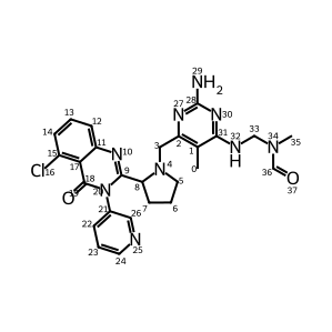 Cc1c(CN2CCCC2c2nc3cccc(Cl)c3c(=O)n2-c2cccnc2)nc(N)nc1NCN(C)C=O